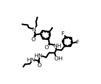 CCCNC(=O)NCCC(O)C(Cc1cc(F)cc(F)c1)NC(=O)c1cc(C)cc(C(=O)N(CCC)CCC)c1